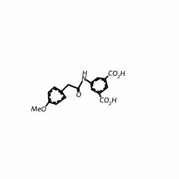 COc1ccc(CC(=O)Nc2cc(C(=O)O)cc(C(=O)O)c2)cc1